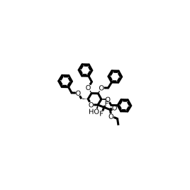 CCOC(=O)C(F)(F)[C@]1(O)O[C@H](COCc2ccccc2)[C@H](OCc2ccccc2)[C@H](OCc2ccccc2)[C@H]1OCc1ccccc1